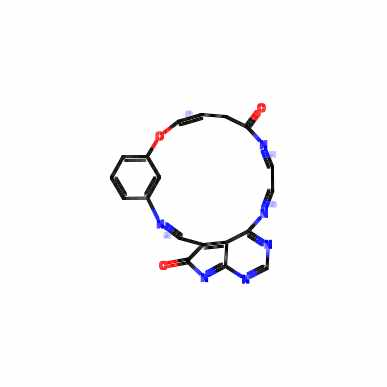 O=C1C/C=C\Oc2cccc(c2)/N=C\C2=c3c(ncnc3=NC2=O)/N=C\C=N/1